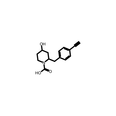 C#Cc1ccc(CC2CC(O)CCN2C(=O)O)cc1